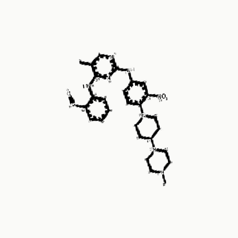 Cc1cnc(Nc2ccc(N3CCC(N4CCN(C)CC4)CC3)c([N+](=O)[O-])c2)nc1Nc1ccccc1P=O